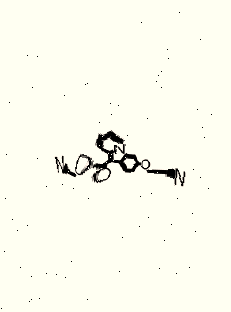 N#CCOC(=O)c1c2ccc(OCC#N)cc2n2ccccc12